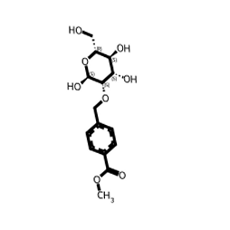 COC(=O)c1ccc(CO[C@H]2[C@@H](O)[C@H](O)[C@@H](CO)O[C@@H]2O)cc1